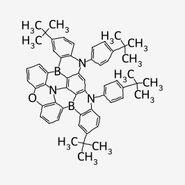 CC(C)(C)c1ccc(N2c3ccc(C(C)(C)C)cc3B3c4cccc5c4N4c6c(cccc6B6c7cc(C(C)(C)C)ccc7N(c7ccc(C(C)(C)C)cc7)c7cc2c3c4c76)O5)cc1